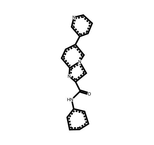 O=C(Nc1ccccc1)c1cn2cc(-c3cccnc3)ccc2n1